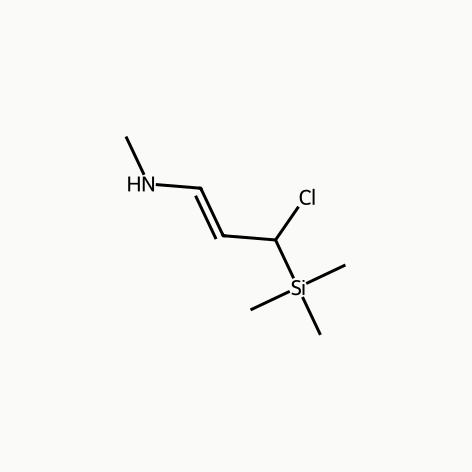 CN/C=C/C(Cl)[Si](C)(C)C